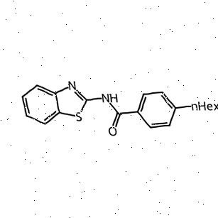 CCCCCCc1ccc(C(=O)Nc2nc3ccccc3s2)cc1